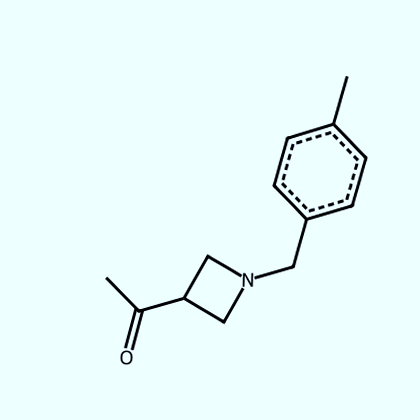 CC(=O)C1CN(Cc2ccc(C)cc2)C1